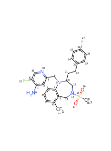 Nc1cc(CN2c3cccc(C(F)(F)F)c3CN(S(=O)(=O)C(F)(F)F)CC2CCc2ccc(F)cc2)ncc1F